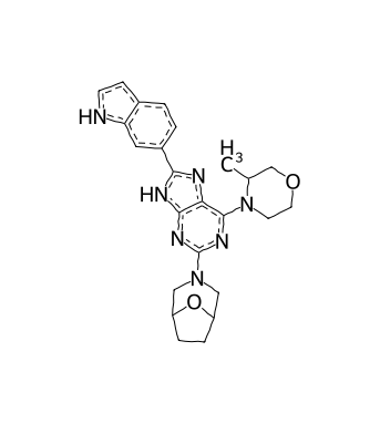 CC1COCCN1c1nc(N2CC3CCC(C2)O3)nc2[nH]c(-c3ccc4cc[nH]c4c3)nc12